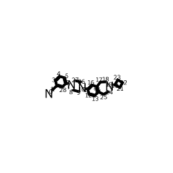 N#Cc1cccc(N2CCN(c3ccc4c(c3)CCN(C3CCC3)CC4)CC2)c1